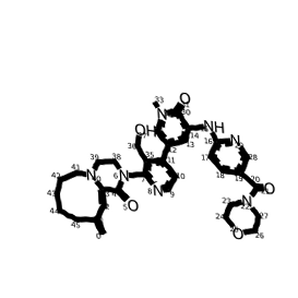 C=C1/C=C2/C(=O)N(c3nccc(-c4cc(Nc5ccc(C(=O)N6CCOCC6)cn5)c(=O)n(C)c4)c3CO)CCN2CCCCC1